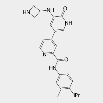 Cc1cc(NC(=O)c2cc(-c3c[nH]c(=O)c(NC4CNC4)c3)ccn2)ccc1C(C)C